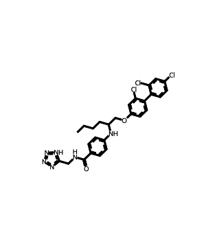 CCCCC(COc1ccc(-c2ccc(Cl)cc2Cl)c(Cl)c1)Nc1ccc(C(=O)NCc2nnn[nH]2)cc1